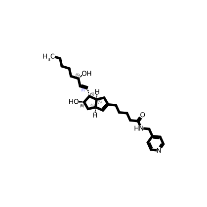 CCCCC[C@H](O)/C=C/[C@@H]1[C@H]2CC(CCCCC(=O)NCc3ccncc3)=C[C@H]2C[C@H]1O